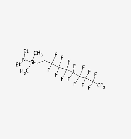 CCN(CC)[Si](C)(C)CCC(F)(F)C(F)(F)C(F)(F)C(F)(F)C(F)(F)C(F)(F)C(F)(F)C(F)(F)F